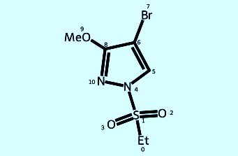 CCS(=O)(=O)n1cc(Br)c(OC)n1